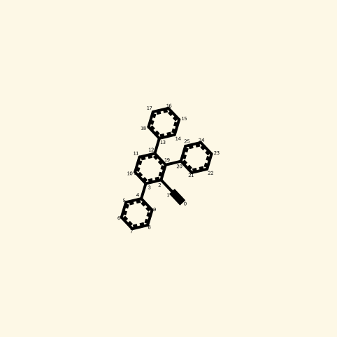 C#Cc1c(-c2ccccc2)[c]cc(-c2ccccc2)c1-c1ccccc1